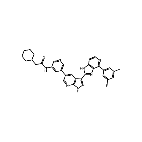 Cc1cc(F)cc(-c2nccc3[nH]c(-c4n[nH]c5ncc(-c6cncc(NC(=O)CC7CCCCC7)c6)cc45)nc23)c1